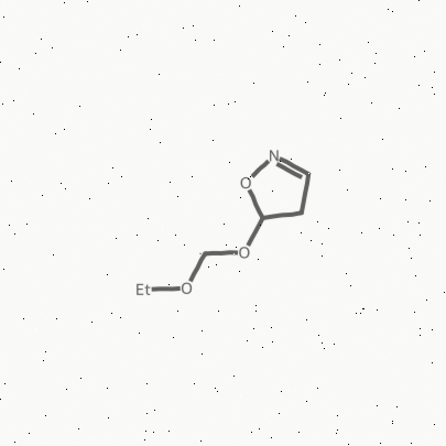 CCO[CH]OC1CC=NO1